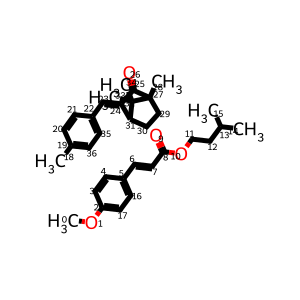 COc1ccc(C=CC(=O)OCCC(C)C)cc1.Cc1ccc(C=C2C(=O)C3(C)CCC2C3(C)C)cc1